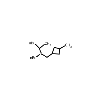 CCCCC(C)N(CCCC)CC1CC(C)C1